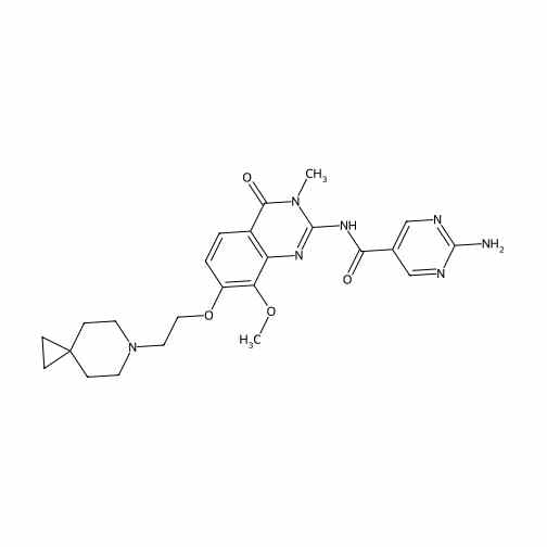 COc1c(OCCN2CCC3(CC2)CC3)ccc2c(=O)n(C)c(NC(=O)c3cnc(N)nc3)nc12